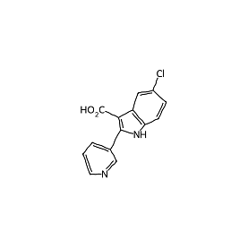 O=C(O)c1c(-c2cccnc2)[nH]c2ccc(Cl)cc12